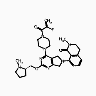 C=C(F)C(=O)N1CCN(c2nc(OC[C@@H]3CCCN3C)nc3c2CN(c2cccc4c2C(=O)N(C)CC4)C3)CC1